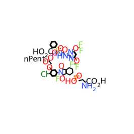 CCCCCOC(=O)COc1cc(N2C(=O)C3=C(CCCC3)C2=O)c(F)cc1Cl.CP(=O)(O)CCC(N)C(=O)O.O=C(Nc1nc(OC(F)F)cc(OC(F)F)n1)NS(=O)(=O)c1ccccc1C(=O)O